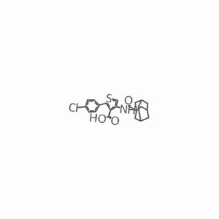 O=C(O)c1c(NC(=O)C23CC4CC(CC(C4)C2)C3)csc1-c1ccc(Cl)cc1